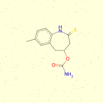 Cc1ccc2c(c1)CC(OC(N)=O)CC(=S)N2